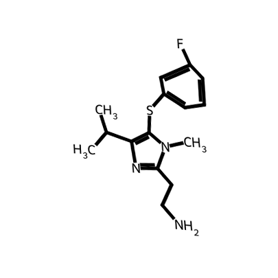 CC(C)c1nc(CCN)n(C)c1Sc1cccc(F)c1